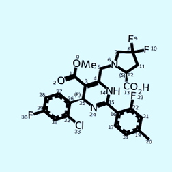 COC(=O)C1=C(CN2CC(F)(F)C[C@H]2C(=O)O)NC(c2ccc(C)cc2F)=N[C@H]1c1ccc(F)cc1Cl